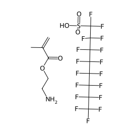 C=C(C)C(=O)OCCN.O=S(=O)(O)C(F)(F)C(F)(F)C(F)(F)C(F)(F)C(F)(F)C(F)(F)C(F)(F)C(F)(F)F